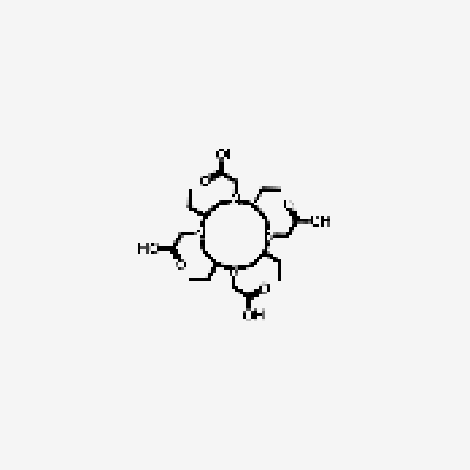 CCC1CN(CC(=O)O)C(CC)CN(CC(=O)O)[C@@H](CC)CN(CC(=O)O)C(CC)CN1CC(=O)O